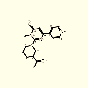 CC(=O)C1CCCN(c2nc(-c3ccncc3)cc(=O)n2C)C1